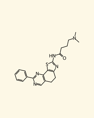 CN(C)CCCC(=O)Nc1nc2c(s1)-c1nc(-c3ccccc3)ncc1CC2